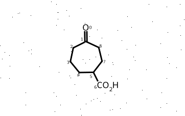 O=C1CCCC(C(=O)O)CC1